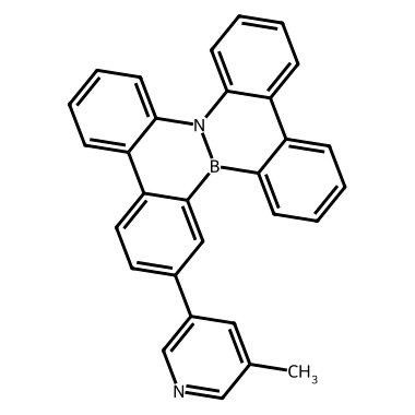 Cc1cncc(-c2ccc3c(c2)B2c4ccccc4-c4ccccc4N2c2ccccc2-3)c1